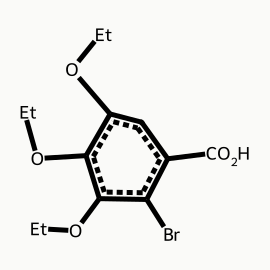 CCOc1cc(C(=O)O)c(Br)c(OCC)c1OCC